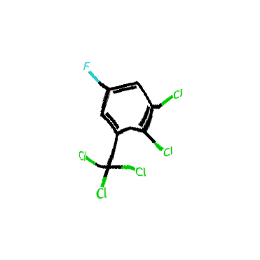 Fc1cc(Cl)c(Cl)c(C(Cl)(Cl)Cl)c1